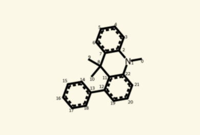 CN1c2ccccc2C(C)(C)c2c(-c3ccccc3)cccc21